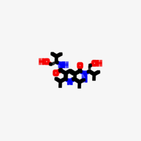 CC(C)c1nc(C(C)C)c(C(=O)N[C@H](CO)C(C)C)cc1C(=O)N[C@H](CO)C(C)C